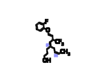 C/C=C\C/C(=C\C(C=COc1ccccc1F)C(F)(F)F)CCCO